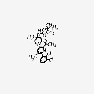 CC(=O)c1nc(-c2cccc(Cl)c2Cl)c(C)cc1N1CCC(C)(NC(=O)OC(C)(C)C)CC1